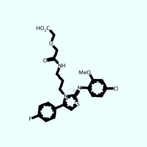 COc1cc(Cl)ccc1/N=c1\scc(-c2ccc(F)cc2)n1CCCNC(=O)COCC(=O)O